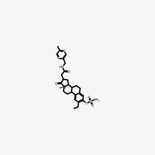 CCc1cc2c(cc1OS(N)(=O)=O)CCC1C2CC[C@]2(C)C(=O)C(CC(=O)NCc3cnc(C)cn3)CC12